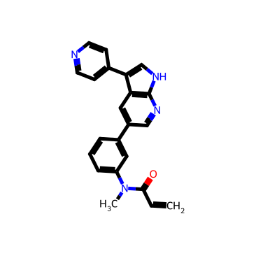 C=CC(=O)N(C)c1cccc(-c2cnc3[nH]cc(-c4ccncc4)c3c2)c1